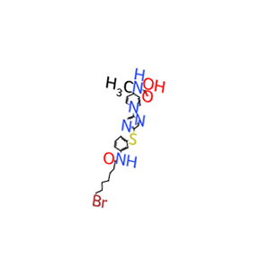 CC1(NC(=O)O)C=CN(c2cnc(Sc3cccc(NC(=O)CCCCCCBr)c3)cn2)C=C1